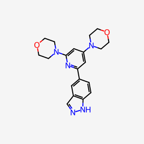 c1cc2[nH]ncc2cc1-c1cc(N2CCOCC2)cc(N2CCOCC2)n1